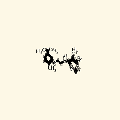 Cc1ccc(C(C)C)cc1OCCNc1ncnc(Br)c1C